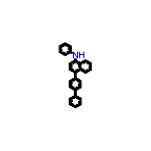 c1ccc(Nc2ccc(-c3ccc(-c4ccccc4)cc3)c3ccccc23)cc1